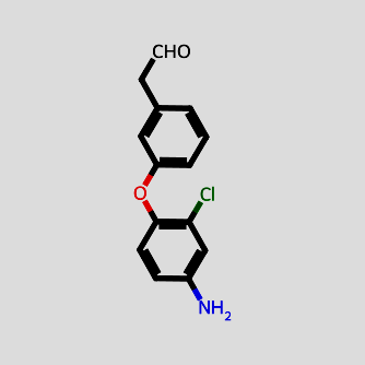 Nc1ccc(Oc2cccc(CC=O)c2)c(Cl)c1